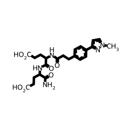 Cn1ccc(-c2ccc(CCC(=O)NC(CCC(=O)O)C(=O)NC(CCC(=O)O)C(N)=O)cc2)n1